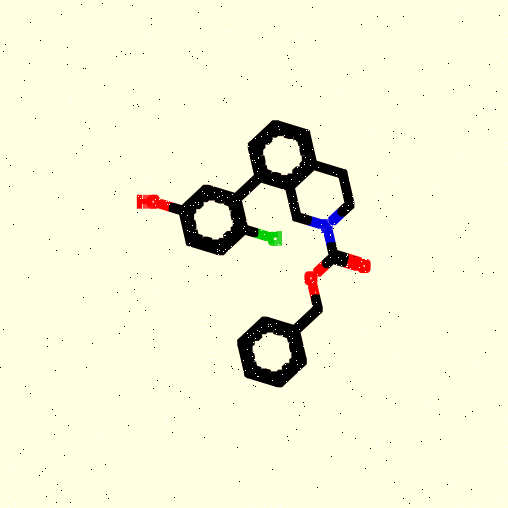 O=C(OCc1ccccc1)N1CCc2cccc(-c3cc(O)ccc3Cl)c2C1